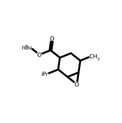 CCCCOC(=O)C1CC(C)C2OC2C1C(C)C